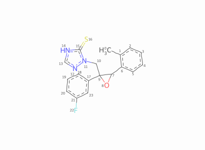 Cc1ccccc1C1OC1(Cn1nc[nH]c1=S)c1cccc(F)c1